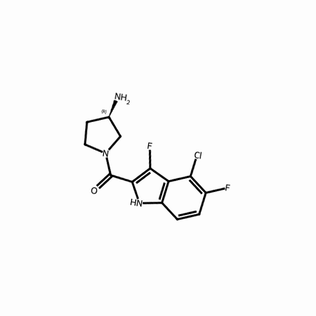 N[C@@H]1CCN(C(=O)c2[nH]c3ccc(F)c(Cl)c3c2F)C1